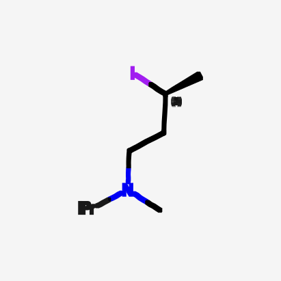 CC(C)N(C)CC[C@H](C)I